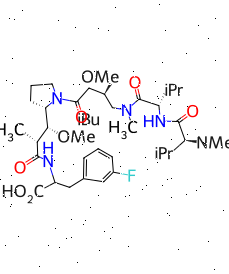 CC[C@H](C)C([C@@H](CC(=O)N1CCC[C@H]1[C@H](OC)[C@@H](C)C(=O)NC(Cc1cccc(F)c1)C(=O)O)OC)N(C)C(=O)[C@@H](NC(=O)[C@@H](NC)C(C)C)C(C)C